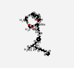 C=C1C[C@@H]2CC[C@@]34C[C@H]5OC6C(O[C@H]7CC[C@H](CC(=O)C[C@H]8C(C[C@H]9O[C@@H](CC[C@@H]1O2)C[C@@H](C)C9=C)O[C@H](C[C@H](O)CNC(=O)OCc1ccc(NC(=O)[C@H](CCCNC(N)=O)NC(=O)[C@@H](NC(=O)CCCCCN2C(=O)C=CC2=O)C(C)C)cc1)[C@@H]8OC)O[C@@H]7[C@@H]6O3)[C@@H]5O4